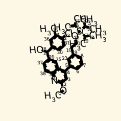 COc1cc(-c2cccc(CCO[Si](C(C)C)(C(C)C)C(C)C)c2)c2cc(C(O)c3ccc(Cl)c(C)c3)ccc2n1